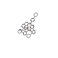 CC1(C)C2=C(c3c(N(C4=C=C=c5c(sc6c(C7CCCCC7)cccc56)=C4)c4ccc(C5CCCCC5)cc4)ccc4ccccc34)CCC=C2c2cccc(C3CCCCC3)c21